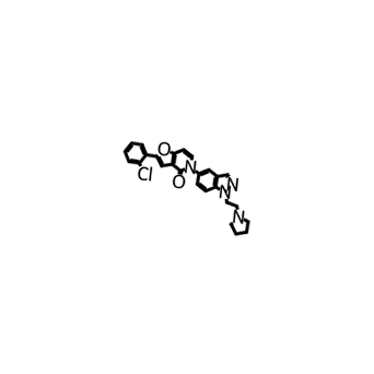 O=c1c2cc(-c3ccccc3Cl)oc2ccn1-c1ccc2c(cnn2CCN2CCCC2)c1